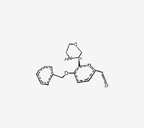 O=Cc1ccc(OCc2ccccc2)c([C@@H]2COCCN2)n1